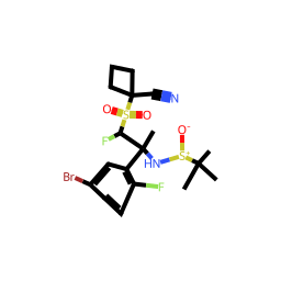 CC(N[S+]([O-])C(C)(C)C)(c1cc(Br)ccc1F)C(F)S(=O)(=O)C1(C#N)CCC1